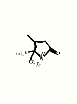 CCOC(=O)C1(C(=O)OCC)NC(=O)CC1C